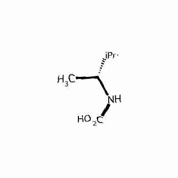 C[C](C)[C@@H](C)NC(=O)O